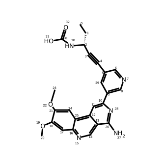 CC[C@H](C#Cc1cncc(-c2cc3c(cnc4cc(OC)c(OC)cc43)c(N)n2)c1)NC(=O)O